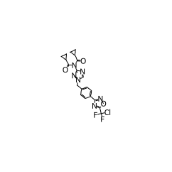 O=C(C1CC1)N(C(=O)C1CC1)c1ncn(Cc2ccc(-c3noc(C(F)(F)Cl)n3)cc2)n1